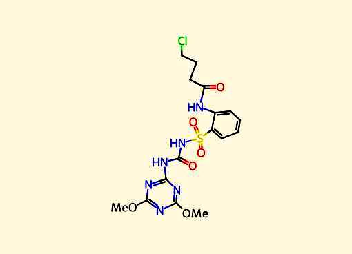 COc1nc(NC(=O)NS(=O)(=O)c2ccccc2NC(=O)CCCCl)nc(OC)n1